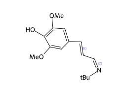 COc1cc(/C=C/C=N\C(C)(C)C)cc(OC)c1O